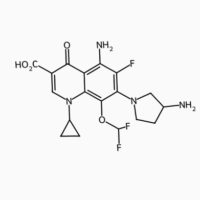 Nc1c(F)c(N2CCC(N)C2)c(OC(F)F)c2c1c(=O)c(C(=O)O)cn2C1CC1